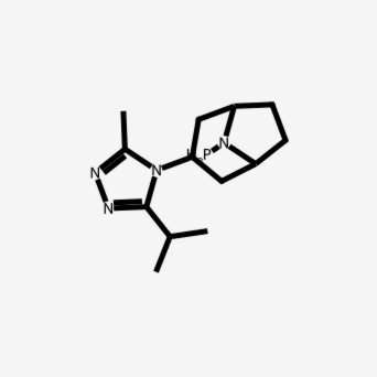 Cc1nnc(C(C)C)n1C1CC2CCC(C1)N2P